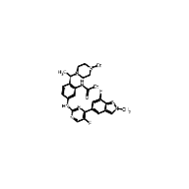 CCC(=O)Nc1cc(Nc2ncc(F)c(-c3cc(F)c4nn(C)cc4c3)n2)ccc1C(C)N1CCN(CC)CC1